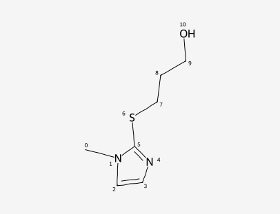 Cn1ccnc1SCCCO